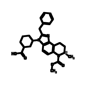 COC(=O)N1c2ccc3c(nc(Cc4ccccc4)n3C3CCCC(C(=O)O)C3)c2CC[C@@H]1C